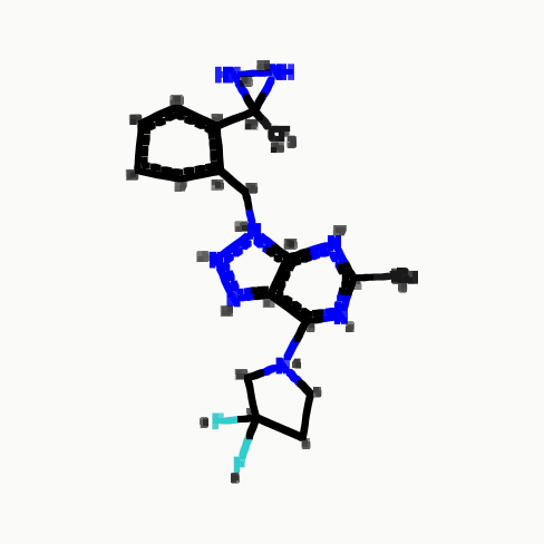 CC(C)(C)c1nc(N2CCC(F)(F)C2)c2nnn(Cc3ccccc3C3(C(F)(F)F)NN3)c2n1